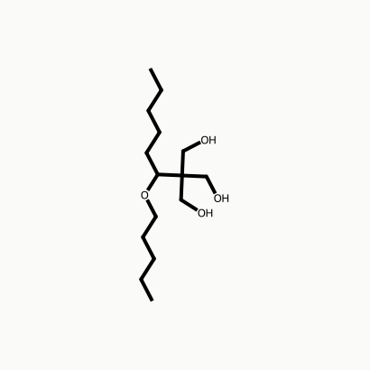 CCCCCOC(CCCCC)C(CO)(CO)CO